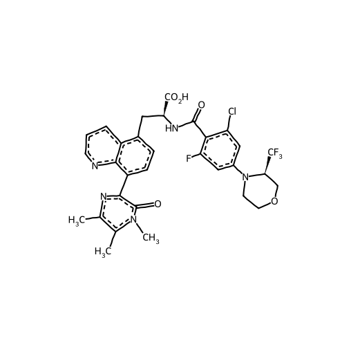 Cc1nc(-c2ccc(C[C@H](NC(=O)c3c(F)cc(N4CCOC[C@@H]4C(F)(F)F)cc3Cl)C(=O)O)c3cccnc23)c(=O)n(C)c1C